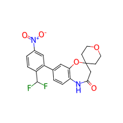 O=C1CC2(CCOCC2)Oc2cc(-c3cc([N+](=O)[O-])ccc3C(F)F)ccc2N1